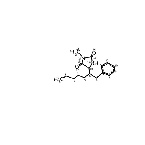 CCCCCC(Cc1ccccc1)C1NC(=O)N(C)C1=O